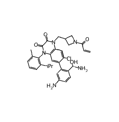 C=CC(=O)N1CC(Cn2c(=O)c(=O)n(-c3c(C)cccc3C(C)C)c3cc(-c4cc(N)ccc4C(N)O)c(Cl)cc32)C1